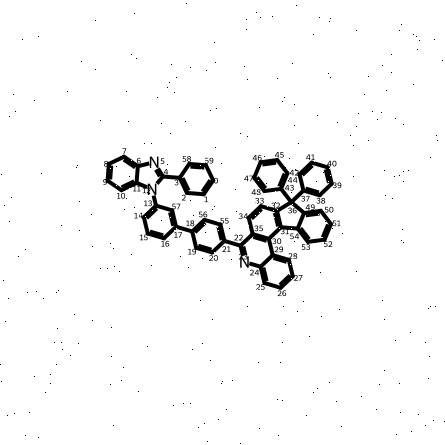 c1ccc(-c2nc3ccccc3n2-c2cccc(-c3ccc(-c4nc5ccccc5c5c6c(ccc45)C(c4ccccc4)(c4ccccc4)c4ccccc4-6)cc3)c2)cc1